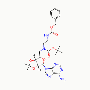 CC(C)(C)OC(=O)N(CCNC(=O)OCc1ccccc1)C[C@H]1O[C@@H](n2cnc3c(N)ncnc32)[C@@H]2OC(C)(C)O[C@@H]21